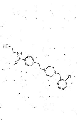 O=C(NCCO)c1ccc(CCN2CCN(Cc3ccccc3Cl)CC2)cc1